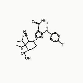 CC(F)C1(C(C)F)C(C#N)C(n2cc(C(N)=O)c(Nc3ccc(F)cc3)n2)CCN1C(=O)O